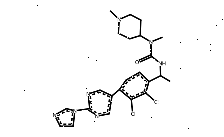 CC(NC(=O)N(C)C1CCN(C)CC1)c1ccc(-c2cnc(-n3ccnc3)nc2)c(Cl)c1Cl